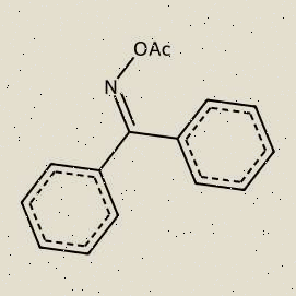 CC(=O)ON=C(c1ccccc1)c1ccccc1